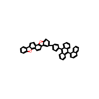 c1ccc2c(-c3c4ccccc4c(-c4ccc(-c5ccc6oc7c(ccc8c7ccc7c9ccccc9oc78)c6c5)cc4)c4ccccc34)cccc2c1